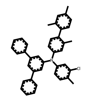 Cc1ccc(-c2ccc(N(c3cc(-c4ccccc4)cc(-c4ccccc4)c3)c3ccc(C)c(Cl)c3)cc2C)c(C)c1